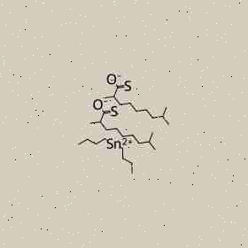 CC(C)CCCCCC(C)C([O-])=S.CC(C)CCCCCC(C)C([O-])=S.CCC[CH2][Sn+2][CH2]CCC